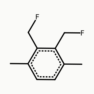 Cc1ccc(C)c(CF)c1CF